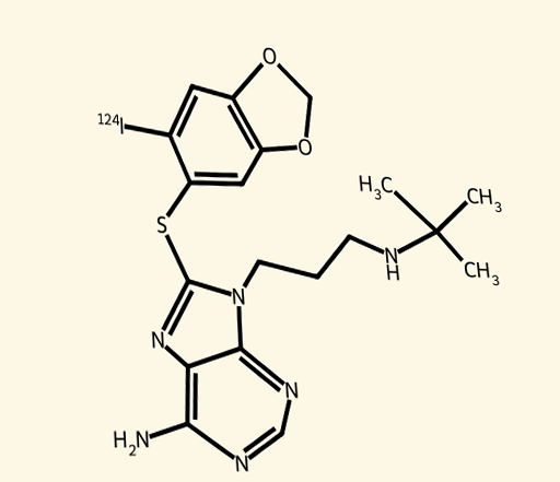 CC(C)(C)NCCCn1c(Sc2cc3c(cc2[124I])OCO3)nc2c(N)ncnc21